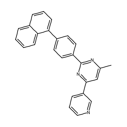 Cc1cc(-c2cccnc2)nc(-c2ccc(-c3cccc4ccccc34)cc2)n1